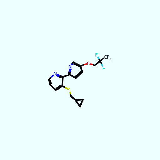 FC(F)(F)C(F)(F)COc1ccc(-c2ncccc2SCC2CC2)nc1